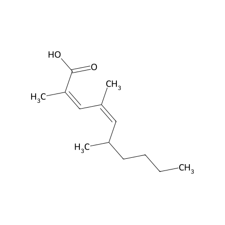 CCCCC(C)C=C(C)C=C(C)C(=O)O